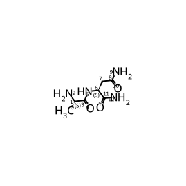 C[C@H](N)C(=O)N[C@@H](CC(N)=O)C(N)=O